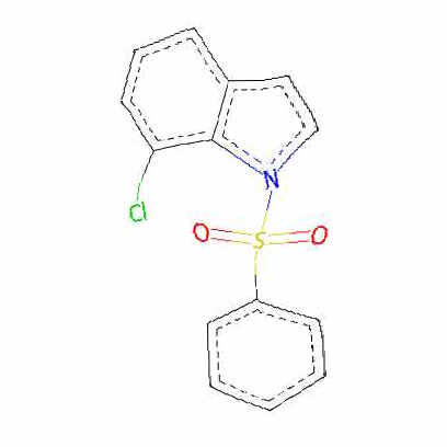 O=S(=O)(c1ccccc1)n1ccc2cccc(Cl)c21